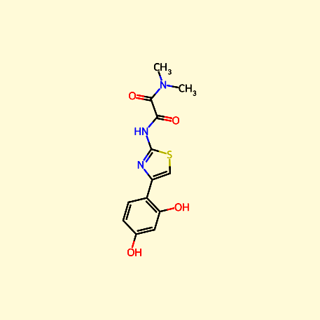 CN(C)C(=O)C(=O)Nc1nc(-c2ccc(O)cc2O)cs1